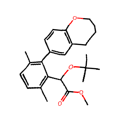 COC(=O)C(OC(C)(C)C)c1c(C)ccc(C)c1-c1ccc2c(c1)CCCO2